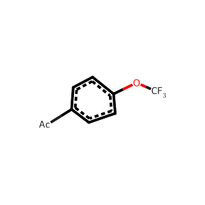 [CH2]C(=O)c1ccc(OC(F)(F)F)cc1